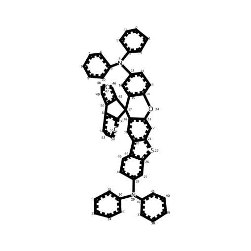 c1ccc(N(c2ccccc2)c2ccc3c(c2)C2(c4cc5c(cc4O3)sc3cc(N(c4ccccc4)c4ccccc4)ccc35)c3ccccc3-c3ccccc32)cc1